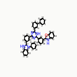 c1ccc(-c2cccc(C3=NC(c4cccc(C5Nc6ccccc6N5c5ccccc5)c4)=NC(c4cccc(C5Nc6ccccc6O5)c4)N3)c2)cc1